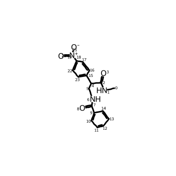 CNC(=O)C(CNC(=O)c1ccccc1)c1ccc([N+](=O)[O-])cc1